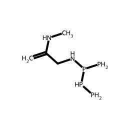 C=C(CNP(P)PP)NC